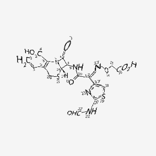 C=CC1=C(C(=O)O)N2C(=O)C(NC(=O)C(=NOCC(=O)O)c3csc(NC=O)n3)[C@@H]2SC1